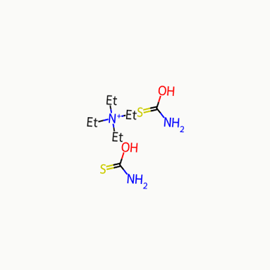 CC[N+](CC)(CC)CC.NC(O)=S.NC(O)=S